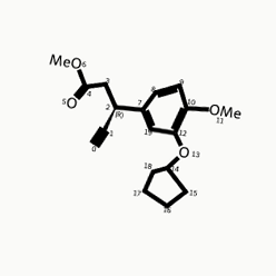 C#C[C@@H](CC(=O)OC)c1ccc(OC)c(OC2CCCC2)c1